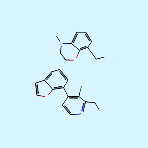 CN1C[C@@H](c2cc(-c3ccnc(CN)c3F)c3occc3c2)Oc2c(CC(=O)O)cccc21